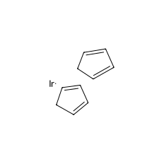 C1=CCC=C1.C1=CCC=C1.[Ir]